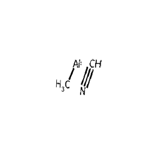 C#N.[CH3][Al]